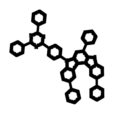 c1ccc(-c2ccc3sc4c(-c5ccccc5)cc5c(c6cc(-c7ccccc7)ccc6n5-c5ccc(-c6nc(-c7ccccc7)nc(-c7ccccc7)n6)cc5)c4c3c2)cc1